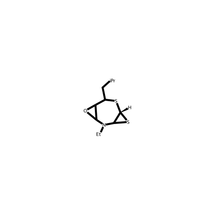 CCN1C2OC2C(CC(C)C)S[C@@H]2SC21